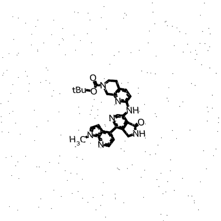 Cn1ccc2c(-c3ncc(Nc4ccc5c(n4)CN(C(=O)OC(C)(C)C)CC5)c4c3CNC4=O)ccnc21